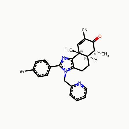 CC(C)c1ccc(-c2nc3c(n2Cc2ccccn2)CC[C@@H]2[C@@H](C)C(=O)C(C#N)=C[C@@]32C)cc1